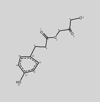 O=C(CCl)COC(=O)CCc1ccc(O)cc1